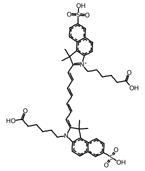 CC1(C)C(/C=C/C=C/C=C/C=C2/N(CCCCCC(=O)O)c3ccc4cc(S(=O)(=O)O)ccc4c3C2(C)C)=[N+](CCCCCC(=O)O)c2ccc3cc(S(=O)(=O)O)ccc3c21